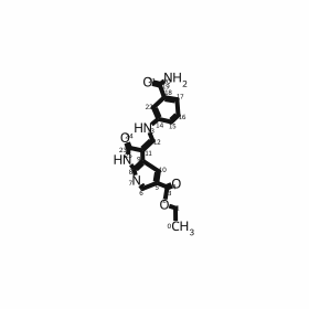 CCOC(=O)c1cnc2c(c1)C(=CNc1cccc(C(N)=O)c1)C(=O)N2